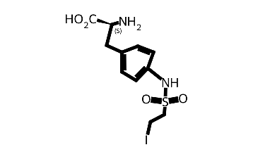 N[C@@H](Cc1ccc(NS(=O)(=O)CCI)cc1)C(=O)O